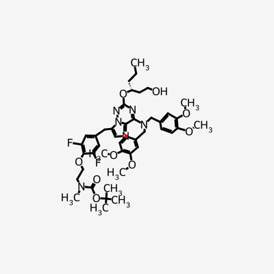 CCC[C@H](CCO)Oc1nc(N(Cc2ccc(OC)c(OC)c2)Cc2ccc(OC)c(OC)c2)c2ncc(Cc3cc(F)c(OCCN(C)C(=O)OC(C)(C)C)c(F)c3)n2n1